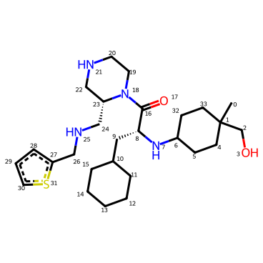 CC1(CO)CCC(N[C@H](CC2CCCCC2)C(=O)N2CCNC[C@H]2CNCc2cccs2)CC1